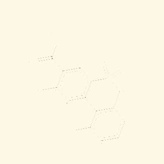 COC(=O)c1cc2c(cc1C)-c1c(C)cccc1CS2(=O)=O